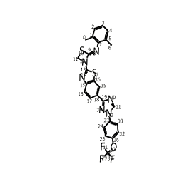 Cc1cccc(C)c1N=C1SCN1c1nc2ccc(-c3ncn(-c4ccc(OC(F)(F)F)cc4)n3)cc2s1